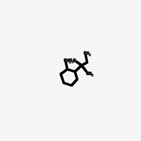 CCC(C)(C)C1CCCC[C]1C